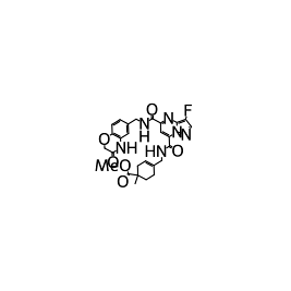 COC(=O)C1(C)CC=C(CNC(=O)c2cc(C(=O)NCc3ccc4c(c3)NC(=O)CO4)nc3c(F)cnn23)CC1